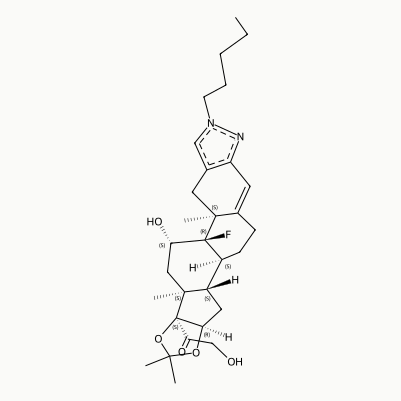 CCCCCn1cc2c(n1)C=C1CC[C@H]3[C@@H]4C[C@H]5OC(C)(C)O[C@@]5(C(=O)CO)[C@@]4(C)C[C@H](O)[C@]3(F)[C@@]1(C)C2